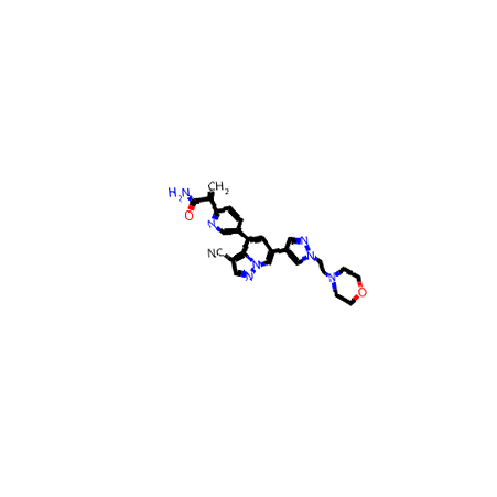 C=C(C(N)=O)c1ccc(-c2cc(-c3cnn(CCN4CCOCC4)c3)cn3ncc(C#N)c23)cn1